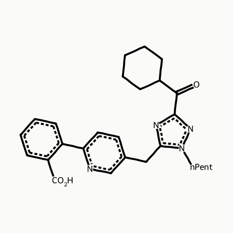 CCCCCn1nc(C(=O)C2CCCCC2)nc1Cc1ccc(-c2ccccc2C(=O)O)nc1